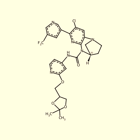 CC1(C)OCC(COc2cc(NC(=O)N3c4nc(-c5cncc(C(F)(F)F)c5)c(Cl)cc4N4CC[C@H]3C4)ccn2)O1